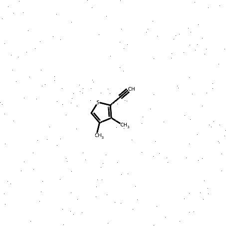 C#Cc1scc(C)c1C